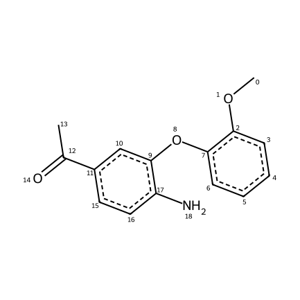 COc1ccccc1Oc1cc(C(C)=O)ccc1N